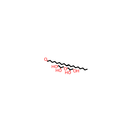 CCCCCCCCC=CCCCCCCCC=O.OCC(O)COCC(O)CO